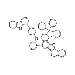 c1ccc(C2(c3ccccc3)c3ccccc3-c3ccc(N(c4ccc(-c5cccc6c5oc5ccccc56)cc4)c4ccccc4-c4ccc5oc6c7ccccc7ccc6c5c4)cc32)cc1